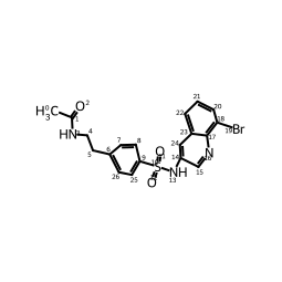 CC(=O)NCCc1ccc(S(=O)(=O)Nc2cnc3c(Br)cccc3c2)cc1